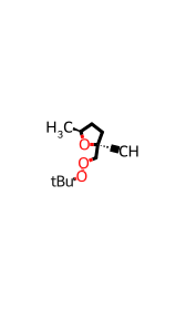 C#C[C@@]1(COOC(C)(C)C)CC[C@H](C)O1